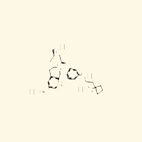 C#CC(=O)N1[C@@H](CCCC)Cc2cc(OC)cnc2[C@@H]1c1ccc(NCCC2(N)CCC2)cc1